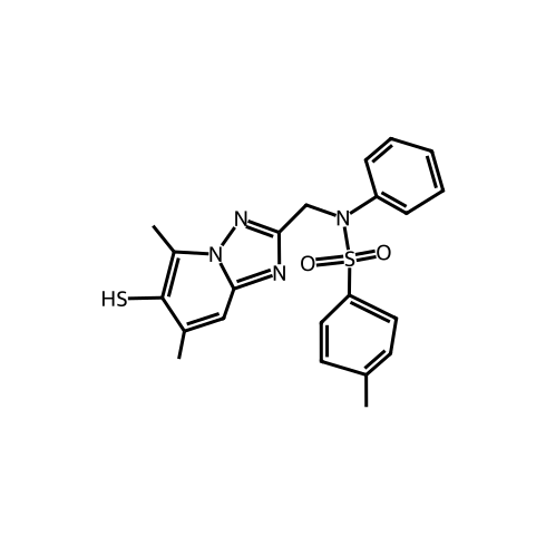 Cc1ccc(S(=O)(=O)N(Cc2nc3cc(C)c(S)c(C)n3n2)c2ccccc2)cc1